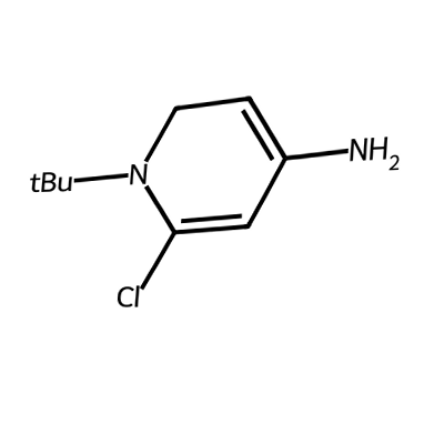 CC(C)(C)N1CC=C(N)C=C1Cl